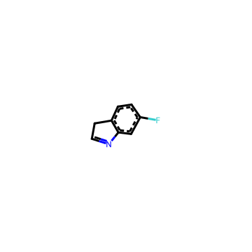 Fc1ccc2c(c1)N=CC2